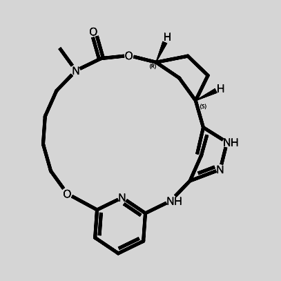 CN1CCCCOc2cccc(n2)Nc2cc([nH]n2)[C@H]2CC[C@H](C2)OC1=O